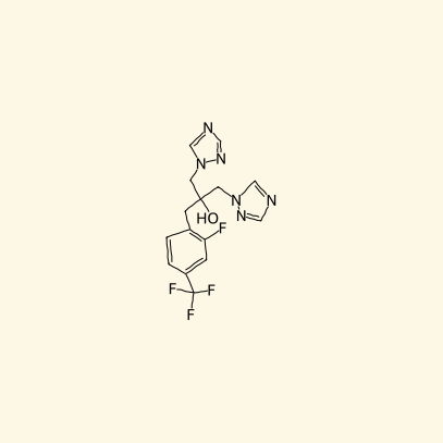 OC(Cc1ccc(C(F)(F)F)cc1F)(Cn1cncn1)Cn1cncn1